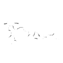 CC(C)(C)OC(=O)NCC(C)(C)c1ccc(C(=O)NCCc2ccc3c(c2)c(C(=N)NC(=O)OC(C)(C)C)cn3C(=O)OC(C)(C)C)cc1